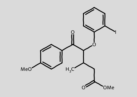 COC(=O)CC(C)C(Oc1ccccc1I)C(=O)c1ccc(OC)cc1